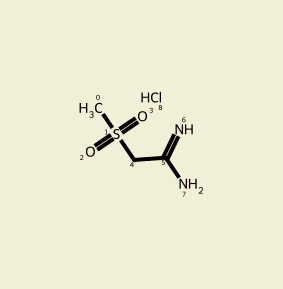 CS(=O)(=O)CC(=N)N.Cl